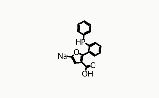 O=C(O)c1c[c]([Na])oc1-c1ccccc1Pc1ccccc1